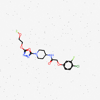 O=C(COc1ccc(Cl)c(F)c1)NC1CCN(c2nnc(OCCOF)o2)CC1